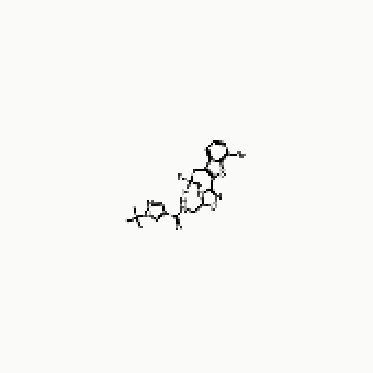 CC(C)(C)n1cc(C(=O)NCc2nc(-c3sc4c(Br)cccc4c3CC(F)(F)F)no2)cn1